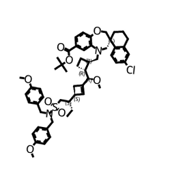 CC[C@H](CS(=O)(=O)N(Cc1ccc(OC)cc1)Cc1ccc(OC)cc1)[C@@H]1C=C([C@H](OC)[C@@H]2CC[C@H]2CN2C[C@@]3(CCCc4cc(Cl)ccc43)COc3ccc(C(=O)OC(C)(C)C)cc32)C1